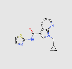 O=C(Nc1nccs1)c1cn(CC2CC2)c2ncccc12